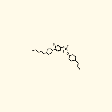 CCCCCC1CCC(c2ccc(OC(F)(F)COC3CCC(CCC)CC3)cc2F)CC1